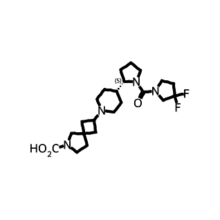 O=C(O)N1CCC2(CC(N3CCC([C@@H]4CCCN4C(=O)N4CCC(F)(F)C4)CC3)C2)C1